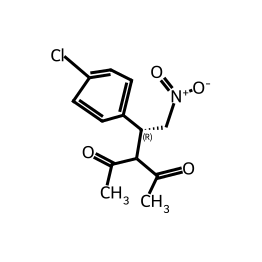 CC(=O)C(C(C)=O)[C@@H](C[N+](=O)[O-])c1ccc(Cl)cc1